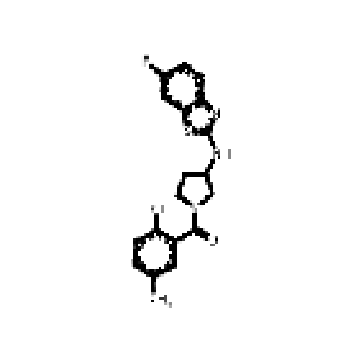 Cc1ccc(Cl)c(C(=O)N2CCC(Nc3nc4ccc(F)cc4s3)C2)c1